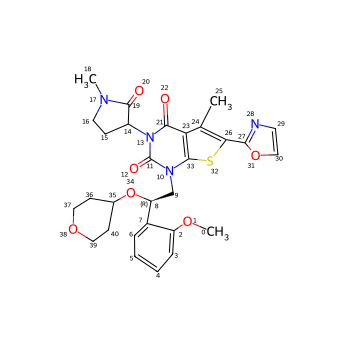 COc1ccccc1[C@H](Cn1c(=O)n(C2CCN(C)C2=O)c(=O)c2c(C)c(-c3ncco3)sc21)OC1CCOCC1